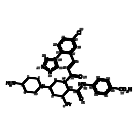 CC(C)C1CC(N2CCC(N)CC2)CN(C(=O)C=Cc2cc(Cl)ccc2-n2cnnn2)C1C(=O)Nc1ccc(C(=O)O)cc1